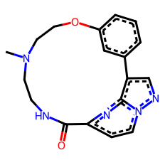 CN1CCNC(=O)c2ccn3ncc(c3n2)-c2cccc(c2)OCC1